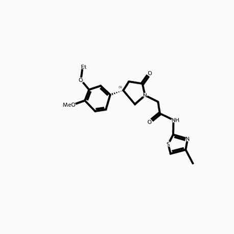 CCOc1cc([C@@H]2CC(=O)N(CC(=O)Nc3nc(C)cs3)C2)ccc1OC